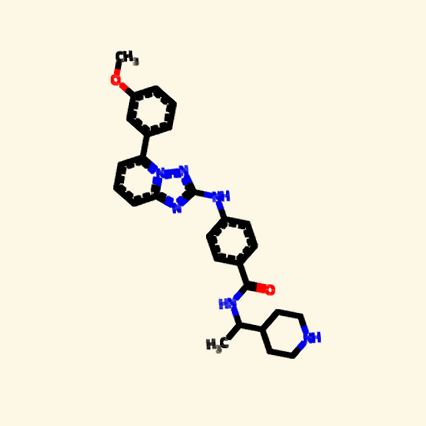 COc1cccc(-c2cccc3nc(Nc4ccc(C(=O)NC(C)C5CCNCC5)cc4)nn23)c1